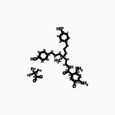 C[N+](CCCc1ccc(O)cc1)(CCCc1ccc(O)cc1)CCNC(=O)c1nc(Cl)c(N)nc1N.O=C([O-])C(F)(F)F